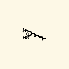 CC(C)=CCC/C(C)=C/C(CCCN(C)C)CC(=O)O